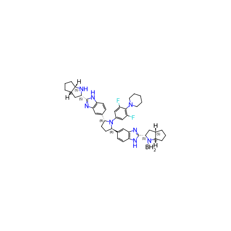 BN1[C@H](c2nc3cc([C@H]4CC[C@H](c5ccc6[nH]c([C@@H]7C[C@@H]8CCC[C@@H]8N7)nc6c5)N4c4cc(F)c(N5CCCCC5)c(F)c4)ccc3[nH]2)C[C@@H]2CCC[C@@H]21